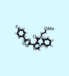 COCCn1c(=O)c2c(-c3noc(-c4ccc(F)cc4)n3)ncn2c2ccccc21